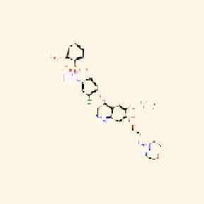 COc1cc2c(Oc3ccc(NS(=O)(=O)c4ccccc4OC(F)(F)F)cc3F)ccnc2cc1OCCCN1CCOCC1